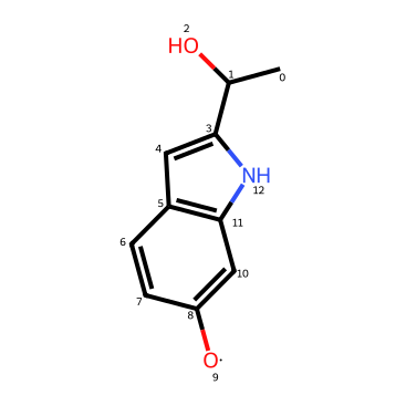 CC(O)c1cc2ccc([O])cc2[nH]1